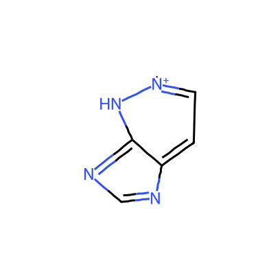 C1=NC2=CC=[N+]NC2=N1